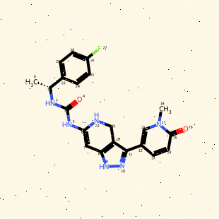 C[C@@H](NC(=O)NC1=Cc2[nH]nc(-c3ccc(=O)n(C)c3)c2CN1)c1ccc(F)cc1